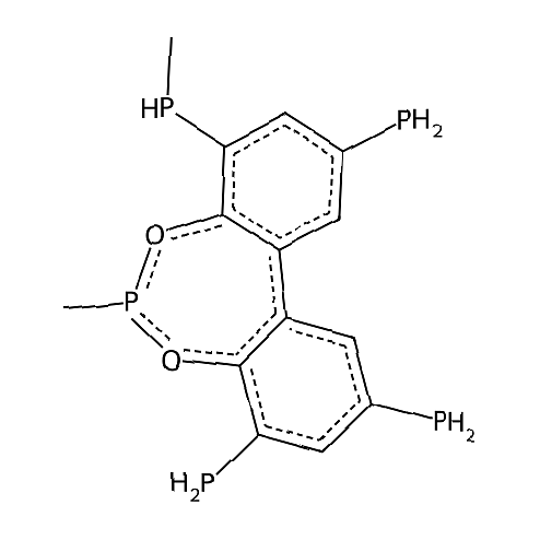 CPc1cc(P)cc2c1op(C)oc1c(P)cc(P)cc12